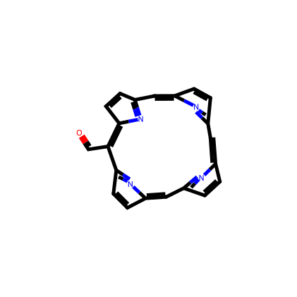 O=CC1=C2C=CC(=N2)C=C2C=CC(=N2)C=C2C=CC(=N2)C=C2C=CC1=N2